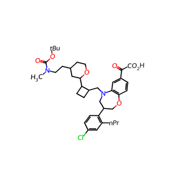 CCCc1cc(Cl)ccc1C1COc2ccc(C(=O)C(=O)O)cc2N(CC2CCC2C2CC(CCN(C)C(=O)OC(C)(C)C)CCO2)C1